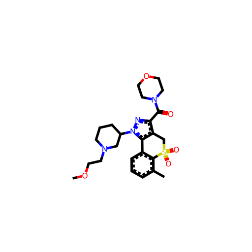 COCCN1CCCC(n2nc(C(=O)N3CCOCC3)c3c2-c2cccc(C)c2S(=O)(=O)C3)C1